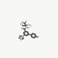 CC(CF)(NC(=O)c1cc(-c2ccc(F)cc2)cc(-n2cnnn2)c1)C(F)F